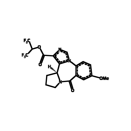 COc1ccc2c(c1)C(=O)N1CCC[C@H]1c1c(C(=O)OC(C(F)(F)F)C(F)(F)F)ncn1-2